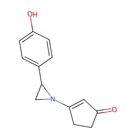 O=C1C=C(N2CC2c2ccc(O)cc2)CC1